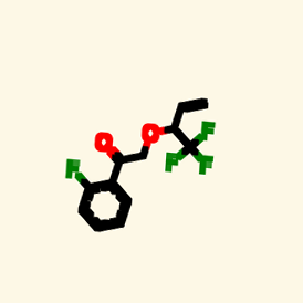 C=CC(OCC(=O)c1ccccc1F)C(F)(F)F